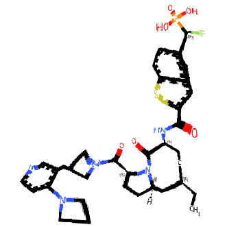 CC[C@@H]1CC[C@H](NC(=O)c2cc3cc([C@H](F)P(=O)(O)O)ccc3s2)C(=O)N2[C@H](CC[C@H]2C(=O)N2CC(c3cnccc3N3CCC3)C2)C1